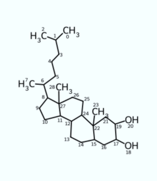 CC(C)CCCC(C)C1CCC2C3CCC4CC(O)C(O)CC4(C)C3CCC12C